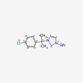 [CH2]CCN1C=CN(C(C)(C)c2ccc(Cl)cc2)C1